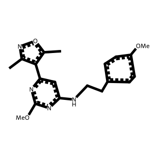 COc1ccc(CCNc2cc(-c3c(C)noc3C)nc(OC)n2)cc1